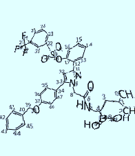 CC(C)CC(NC(=O)Cn1nc(-c2ccccc2OS(=O)(=O)c2cccc(C(F)(F)F)c2)cc1-c1ccc(OCc2ccccc2)cc1)B(O)O